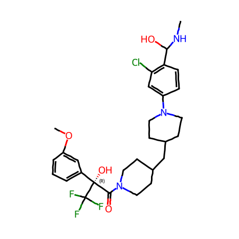 CNC(O)c1ccc(N2CCC(CC3CCN(C(=O)[C@](O)(c4cccc(OC)c4)C(F)(F)F)CC3)CC2)cc1Cl